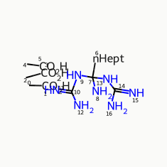 CC(=O)O.CC(=O)O.CC(=O)O.CCCCCCCC(N)(NC(=N)N)NC(=N)N